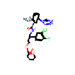 COc1ccc(-n2cnnn2)cc1C(=O)NCC(CCOC1CCCCO1)c1ccc(Cl)c(Cl)c1